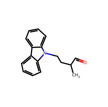 CC(C=O)CCn1c2ccccc2c2ccccc21